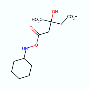 O=C(O)CC(O)(CC(=O)ONC1CCCCC1)C(=O)O